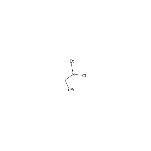 CCCCN(Cl)CC